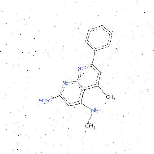 CNc1cc(N)nc2nc(-c3ccccc3)cc(C)c12